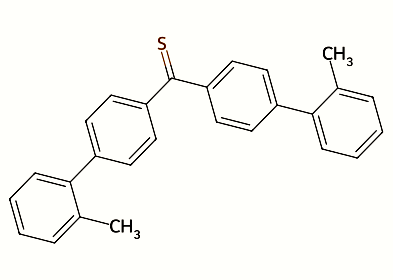 Cc1ccccc1-c1ccc(C(=S)c2ccc(-c3ccccc3C)cc2)cc1